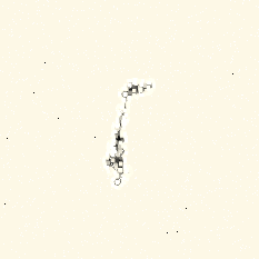 Nc1ncnc2c1c(-c1ccc(Oc3ccccc3)cc1)nn2[C@@H]1CCCN(C(=O)c2cn(CCOCCOCCOCCCc3cccc4c3CN(C3CCC(=O)NC3=O)C4=O)nn2)C1